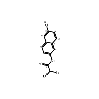 CCC(I)C(=O)Oc1ccc2cc(Cl)ccc2c1